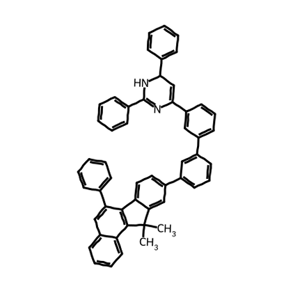 CC1(C)c2cc(-c3cccc(-c4cccc(C5=CC(c6ccccc6)NC(c6ccccc6)=N5)c4)c3)ccc2-c2c(-c3ccccc3)cc3ccccc3c21